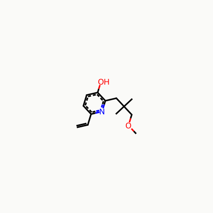 C=Cc1ccc(O)c(CC(C)(C)COC)n1